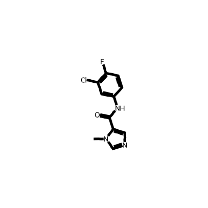 Cn1cncc1C(=O)Nc1ccc(F)c(Cl)c1